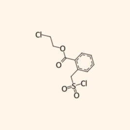 O=C(OCCCl)c1ccccc1CS(=O)(=O)Cl